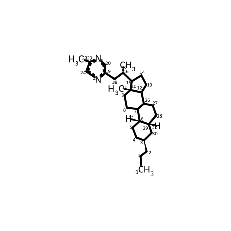 CCC[C@H]1CC[C@@H]2C3CC[C@@]4(C)C(CCC4[C@H](C)Cc4cnc(C)cn4)C3CC[C@@H]2C1